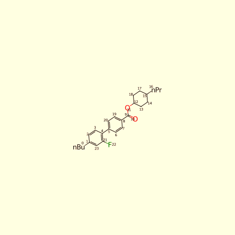 CCCCc1ccc(-c2ccc(C(=O)OC3CCC(CCC)CC3)cc2)c(F)c1